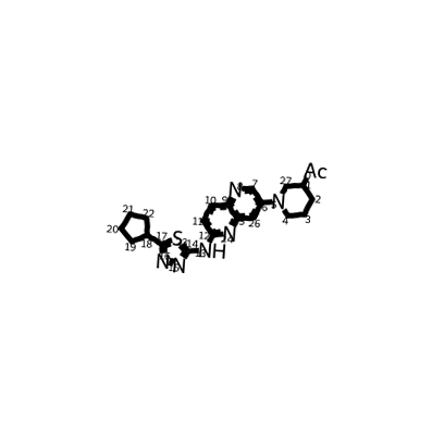 CC(=O)C1CCCN(c2cnc3ccc(Nc4nnc(C5CCCC5)s4)nc3c2)C1